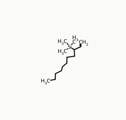 C=CC(CCCCCCCC)[Si](C)(C)C